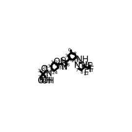 Cc1cc(Nc2nccc(C(F)(F)F)n2)cc(-c2cnc(C3(O)CCC(NC(=O)C(C)(CO)CO)CC3)s2)c1